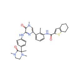 Cc1c(NC(=O)c2cc3c(s2)CCCC3)cccc1-c1cn(C)c(=O)c(Nc2ccc(C3(C)C(=O)N(C)CCN3C)cc2)n1